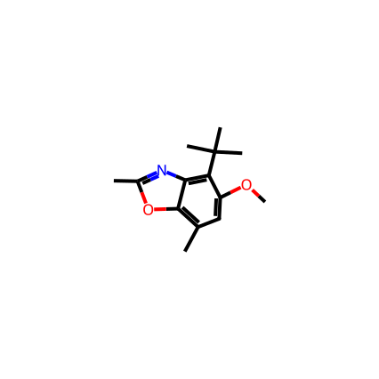 COc1cc(C)c2oc(C)nc2c1C(C)(C)C